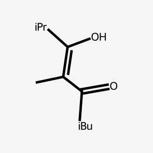 CCC(C)C(=O)/C(C)=C(\O)C(C)C